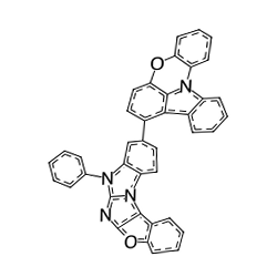 c1ccc(-n2c3cc(-c4ccc5c6c4c4ccccc4n6-c4ccccc4O5)ccc3n3c4c(nc23)oc2ccccc24)cc1